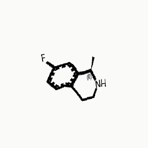 C[C@H]1NCCc2ccc(F)cc21